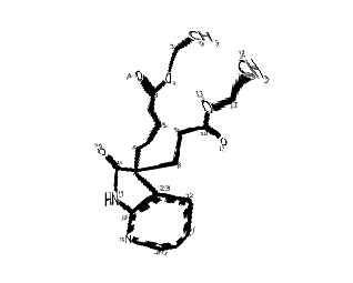 CCOC(=O)CCC1(CCC(=O)OCC)C(=O)Nc2ncccc21